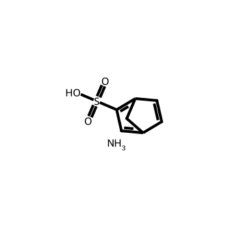 N.O=S(=O)(O)C1=C2C=CC(=C1)C2